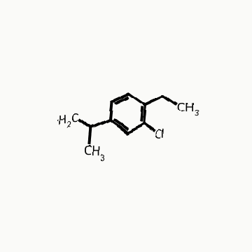 [CH2]C(C)c1ccc(CC)c(Cl)c1